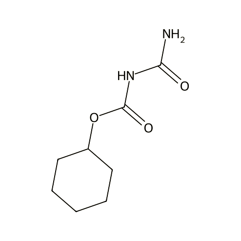 NC(=O)NC(=O)OC1CCCCC1